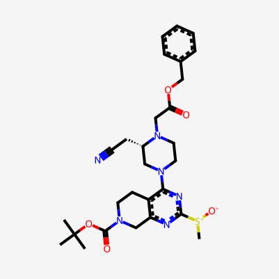 C[S+]([O-])c1nc2c(c(N3CCN(CC(=O)OCc4ccccc4)[C@@H](CC#N)C3)n1)CCN(C(=O)OC(C)(C)C)C2